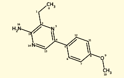 CCc1nc(-c2ccc(OC)cc2)cnc1N